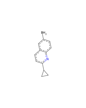 Bc1ccc2nc(C3CC3)ccc2c1